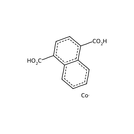 O=C(O)c1ccc(C(=O)O)c2ccccc12.[Co]